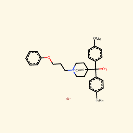 COc1ccc(C(O)(c2ccc(OC)cc2)C23CC[N+](CCCOc4ccccc4)(CC2)CC3)cc1.[Br-]